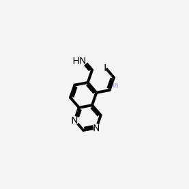 N=Cc1ccc2ncncc2c1/C=C\I